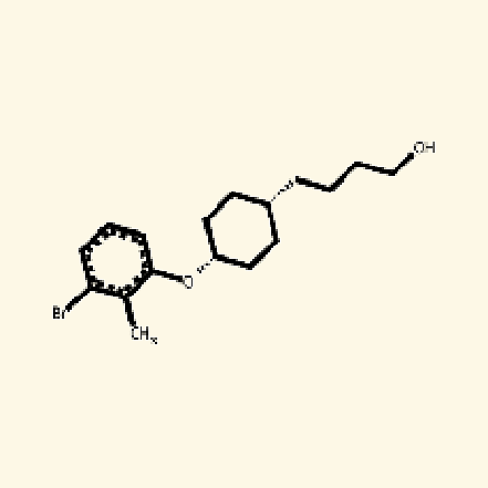 Cc1c(Br)cccc1O[C@H]1CC[C@@H](CCCCO)CC1